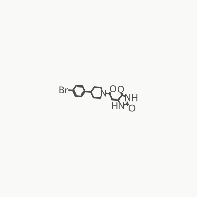 O=C1NC(=O)C(CC(=O)N2CCC(c3ccc(Br)cc3)CC2)N1